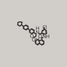 O=C(O)CC(NC(=O)c1cc(Cl)ccc1NCc1cccc2ccccc12)c1ccc(-c2ccc(C3CCCCC3)cc2)cc1